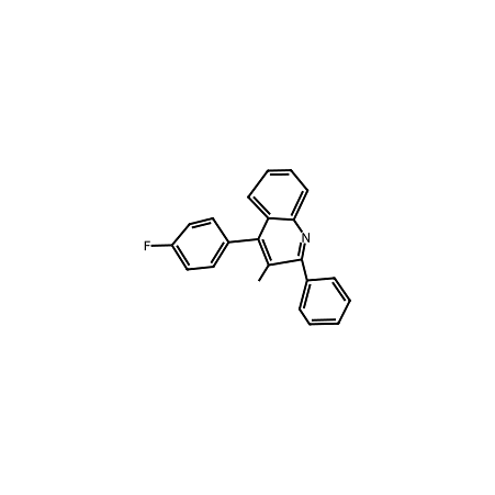 Cc1c(-c2ccccc2)nc2ccccc2c1-c1ccc(F)cc1